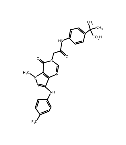 Cn1nc(Nc2ccc(C(F)(F)F)cc2)c2ncn(CC(=O)Nc3ccc(C(C)(C)C(=O)O)cc3)c(=O)c21